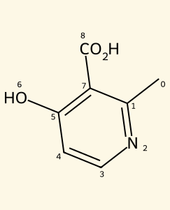 Cc1nccc(O)c1C(=O)O